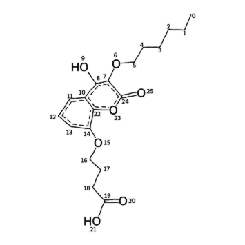 CCCCCCOc1c(O)c2cccc(OCCCC(=O)O)c2oc1=O